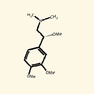 COc1ccc([C@H](CN(C)C)OC)cc1OC